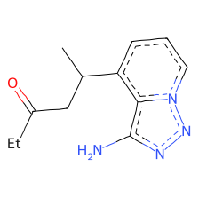 CCC(=O)CC(C)c1cccn2nnc(N)c12